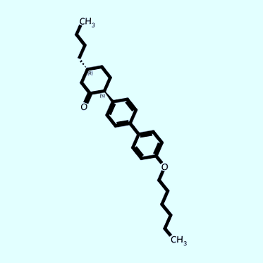 CCCCCCOc1ccc(-c2ccc([C@@H]3CC[C@@H](CCCC)CC3=O)cc2)cc1